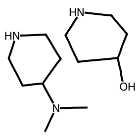 CN(C)C1CCNCC1.OC1CCNCC1